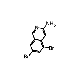 Nc1cc2c(Br)cc(Br)cc2cn1